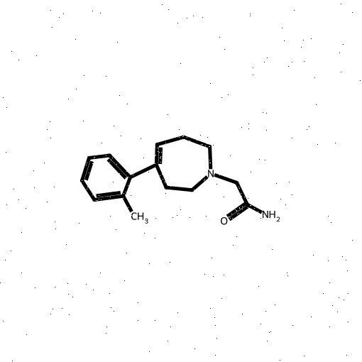 Cc1ccccc1C1=CCCN(CC(N)=O)CC1